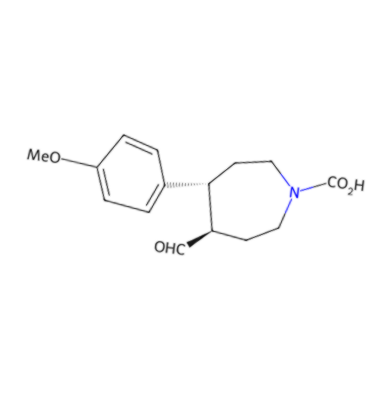 COc1ccc([C@@H]2CCN(C(=O)O)CC[C@H]2C=O)cc1